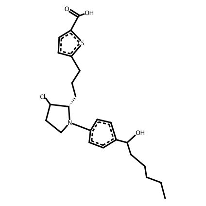 CCCCCC(O)c1ccc(N2CCC(Cl)[C@@H]2CCCc2ccc(C(=O)O)s2)cc1